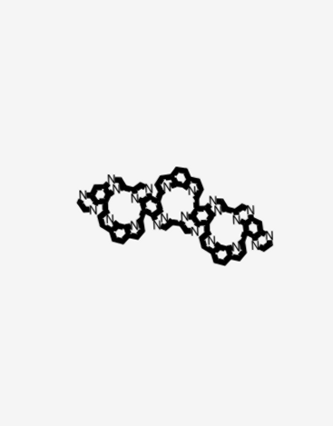 c1cnc2c(cc3ncc4nc3c2c2ccc3ccc5ccc(nc5c3n2)c2c3ncc5nc3c(c3ccc6ccc7ccc(nc7c6n3)c3c6ncc7nc6c(c6ccc8ccc9ccc(nc9c8n6)c6c8nccnc8cc8ncc7nc86)c6ncc5nc63)c3ncc4nc32)n1